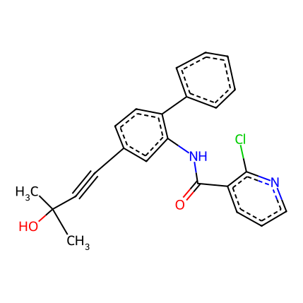 CC(C)(O)C#Cc1ccc(-c2ccccc2)c(NC(=O)c2cccnc2Cl)c1